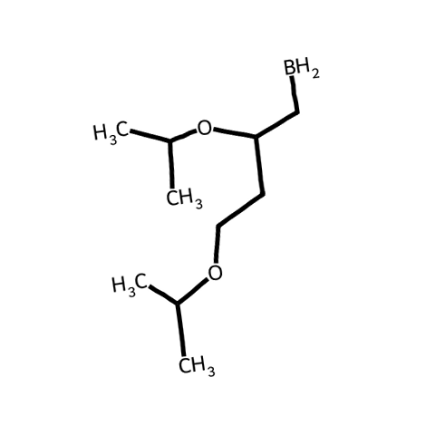 BCC(CCOC(C)C)OC(C)C